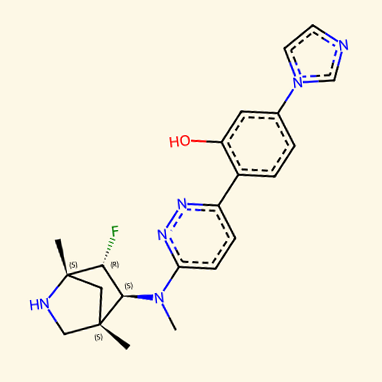 CN(c1ccc(-c2ccc(-n3ccnc3)cc2O)nn1)[C@@H]1[C@@H](F)[C@]2(C)C[C@@]1(C)CN2